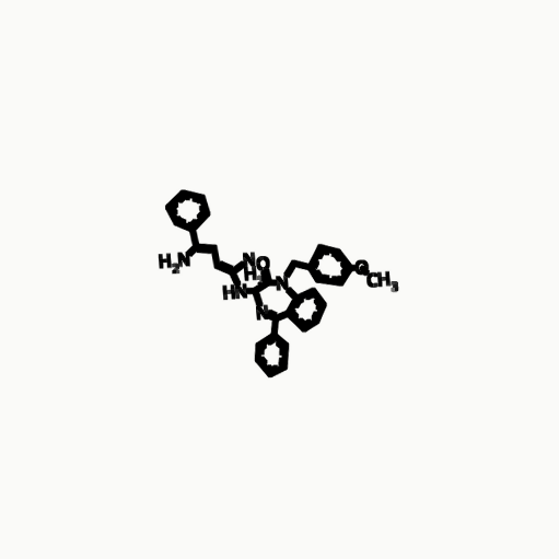 COc1ccc(CN2C(=O)C(N/C(N)=C/C=C(\N)c3ccccc3)N=C(c3ccccc3)c3ccccc32)cc1